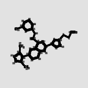 COCCn1cc(-c2nc(NCc3cccc(Cl)c3)c3cc(-c4c(C)noc4C)ccc3n2)cn1